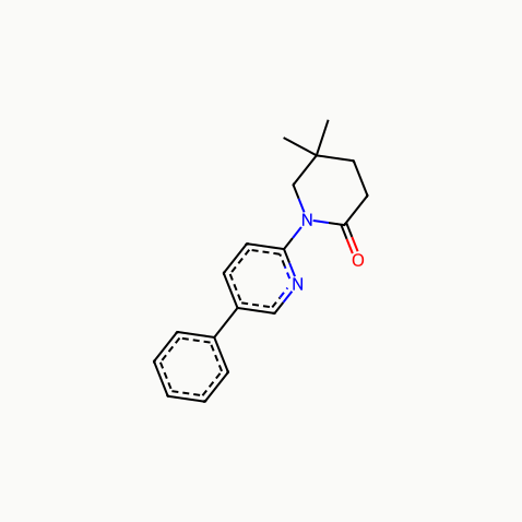 CC1(C)CCC(=O)N(c2ccc(-c3ccccc3)cn2)C1